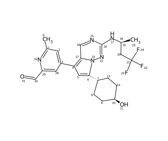 Cc1cc(-c2cc([C@H]3CC[C@H](O)CC3)n3nc(N[C@@H](C)CC(F)(F)F)ncc23)cc(C=O)n1